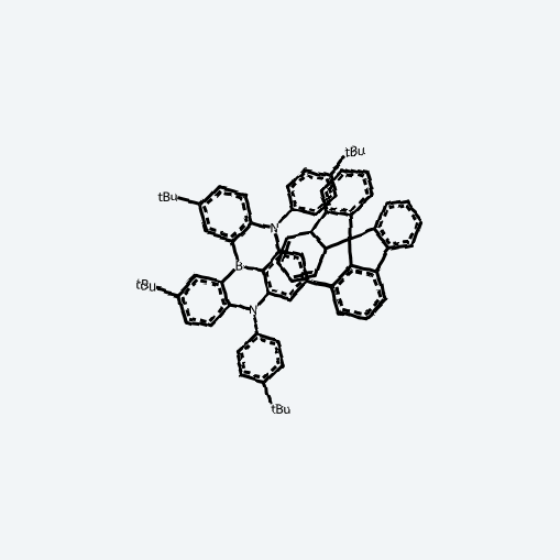 CC(C)(C)c1ccc(N2c3ccc(C(C)(C)C)cc3B3c4cc(C(C)(C)C)ccc4N(c4ccc(C(C)(C)C)cc4)c4cc(-c5cccc6c5C5(c7ccccc7-6)c6ccccc6C6C=CC=CC65)cc2c43)cc1